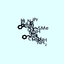 CSCC[C@H](NC(=O)[C@H](Cc1c[nH]c2ccccc12)NC(=O)[C@@H](N)CC(C)C)C(=O)N[C@@H](CCCNC(=N)N)C(=O)N[C@@H](Cc1ccccc1)C(=O)O